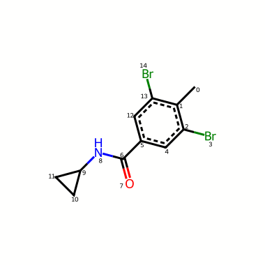 Cc1c(Br)cc(C(=O)NC2CC2)cc1Br